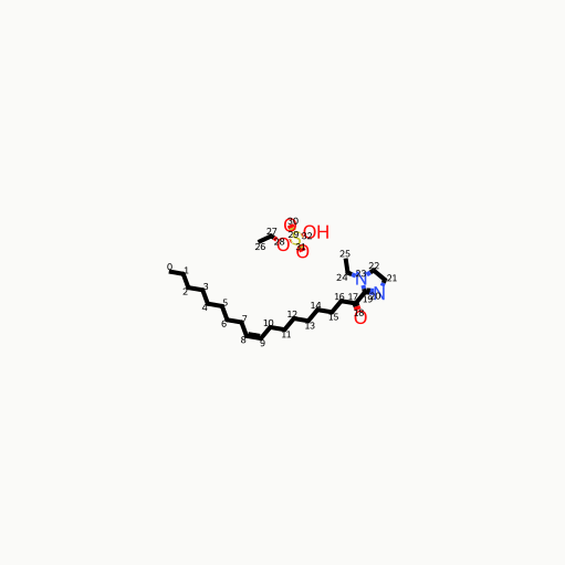 CCCCCCCC/C=C\CCCCCCCC(=O)C1=NCCN1CC.CCOS(=O)(=O)O